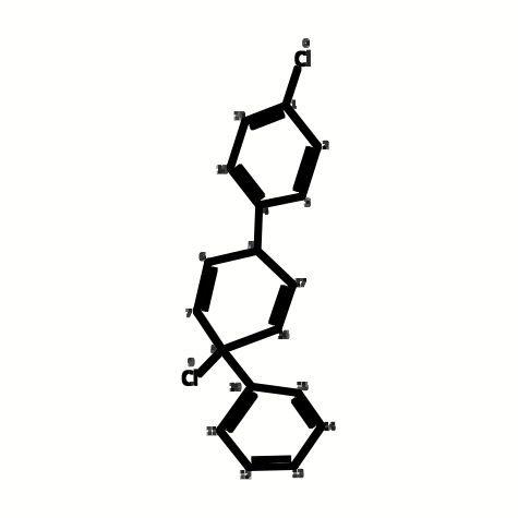 Clc1ccc(C2C=CC(Cl)(c3ccccc3)C=C2)cc1